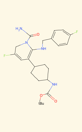 CC(C)(C)OC(=O)NC1CCC(C2=C(NCc3ccc(F)cc3)N(C(N)=O)CC(F)=C2)CC1